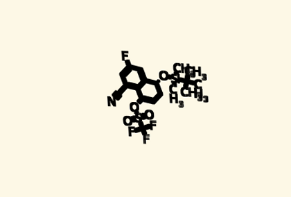 CC(C)(C)[Si](C)(C)O[C@@H]1CC=C(OS(=O)(=O)C(F)(F)F)c2c(C#N)cc(F)cc21